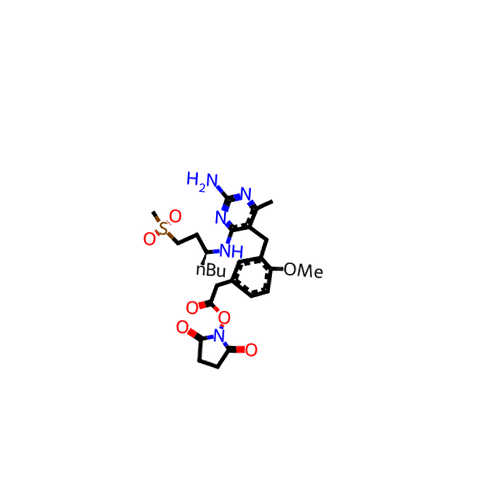 CCCC[C@@H](CCS(C)(=O)=O)Nc1nc(N)nc(C)c1Cc1cc(CC(=O)ON2C(=O)CCC2=O)ccc1OC